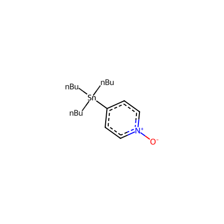 CCC[CH2][Sn]([CH2]CCC)([CH2]CCC)[c]1cc[n+]([O-])cc1